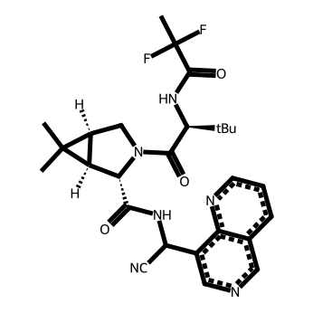 CC(F)(F)C(=O)N[C@H](C(=O)N1C[C@H]2[C@@H]([C@H]1C(=O)NC(C#N)c1cncc3cccnc13)C2(C)C)C(C)(C)C